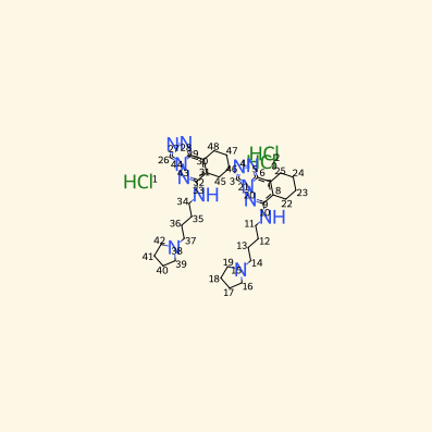 Cl.Cl.Cl.c1nnc2c3c(c(NCCCCN4CCCC4)nn12)CCCC3.c1nnc2c3c(c(NCCCCN4CCCC4)nn12)CCCC3